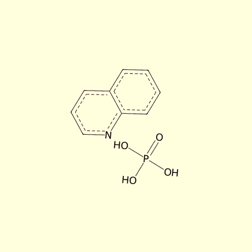 O=P(O)(O)O.c1ccc2ncccc2c1